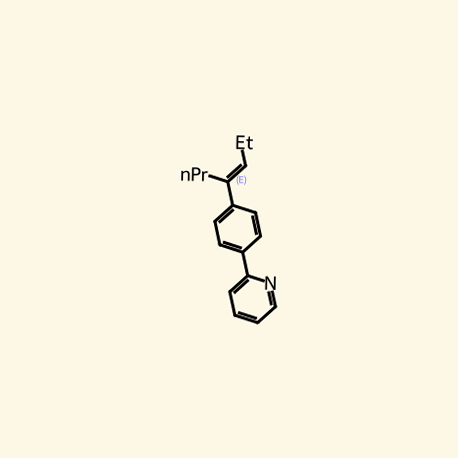 CC/C=C(\CCC)c1ccc(-c2ccccn2)cc1